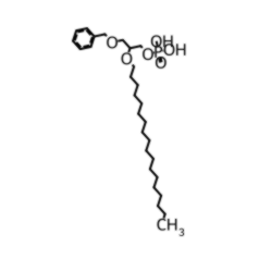 CCCCCCCCCCCCCCCCCCOC(COCc1ccccc1)COP(=O)(O)O